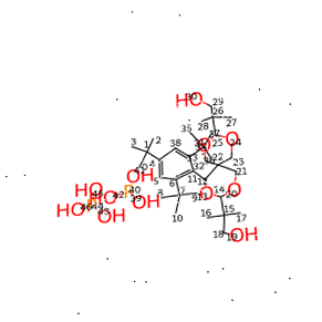 CC(C)(C)c1cc(C(C)(C)C)c(C2OC(C(C)(C)CO)OCC23COC(C(C)(C)CO)OC3)c(C(C)(C)C)c1.OP(O)O.OP(O)O